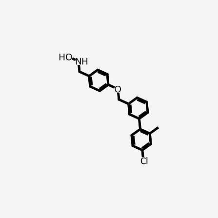 Cc1cc(Cl)ccc1-c1cccc(COc2ccc(CNO)cc2)c1